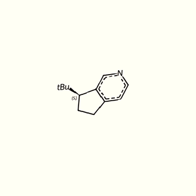 CC(C)(C)[C@@H]1CCc2ccncc21